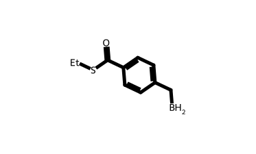 BCc1ccc(C(=O)SCC)cc1